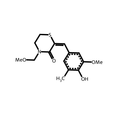 COCN1CCSC(=Cc2cc(C)c(O)c(OC)c2)C1=O